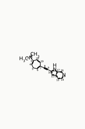 CN(C)C1=CCC=C(C#Cc2cc3ccncc3[nH]2)C=C1